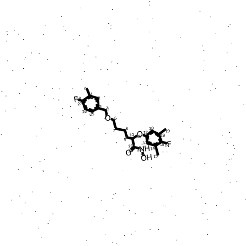 Cc1cc(COCCCCC(Oc2cc(C)c(F)c(C)c2)C(=O)NO)ccc1F